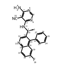 C[C@H](Nc1ncnc(N)c1C#N)c1cnc2ccc(F)cc2c1-c1ccccc1